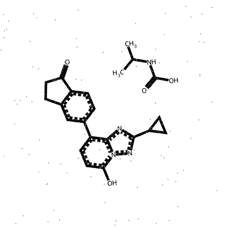 CC(C)NC(=O)O.O=C1CCc2cc(-c3ccc(O)n4nc(C5CC5)nc34)ccc21